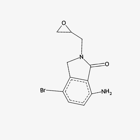 Nc1ccc(Br)c2c1C(=O)N(CC1CO1)C2